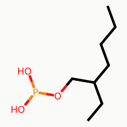 CCCCC(CC)COP(O)O